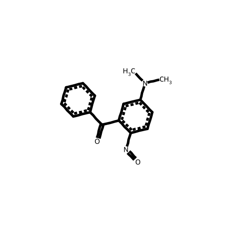 CN(C)c1ccc(N=O)c(C(=O)c2ccccc2)c1